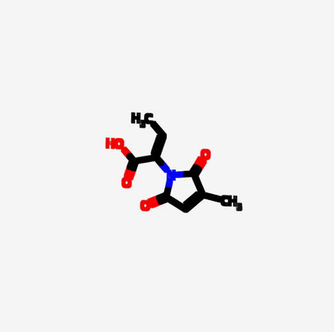 CC=C(C(=O)O)N1C(=O)C=C(C)C1=O